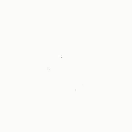 COc1ccc(CSC2c3ccccc3-c3ccccc3N2CCBr)cc1